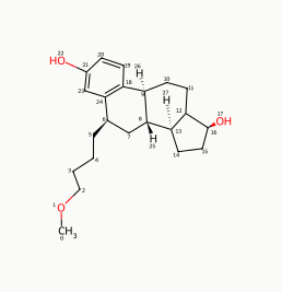 COCCCC[C@@H]1C[C@@H]2[C@H](CCC3[C@H]2CC[C@@H]3O)c2ccc(O)cc21